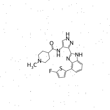 CN1CCC(C(=O)Nc2c[nH]nc2-c2nc3c(-c4ccc(F)s4)cccc3[nH]2)CC1